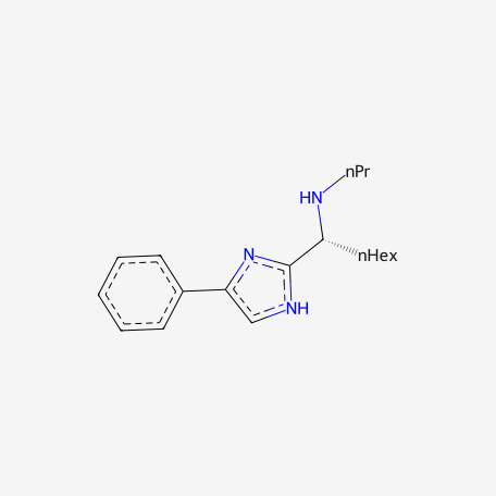 CCCCCC[C@@H](NCCC)c1nc(-c2ccccc2)c[nH]1